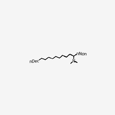 CCCCCCCCCCCCCCCCCCCC(CCCCCCCCC)N(C)C